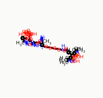 CC(N=[N+]=[N-])c1cc(COCCOCCOCCOCCNOC(=O)c2ccc(C3=c4cc5c(c(S(=O)(=O)O)c4Oc4c3cc3c(c4S(=O)(=O)O)NC(C)C3(C)C)=NC(C)C5(C)C)cc2)ccc1C(=O)OCc1cn([C@H]2CC(OC(=O)c3ccccc3C(C)N=[N+]=[N-])[C@@H](COP(=O)(O)OP(=O)(O)OP(=O)(O)O)O2)c(=O)nc1N